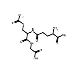 NC(=O)SCC(NC(=O)CCC(N)C(=O)O)C(=O)NCC(=O)O